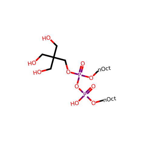 CCCCCCCCOP(=O)(O)OP(=O)(OCCCCCCCC)OCC(CO)(CO)CO